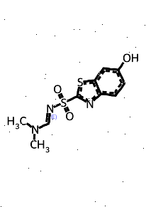 CN(C)/C=N/S(=O)(=O)c1nc2ccc(O)cc2s1